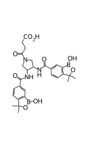 CC1(C)OB(O)c2cc(C(=O)NC3CN(C(=O)CCC(=O)O)CC3NC(=O)c3ccc4c(c3)B(O)OC4(C)C)ccc21